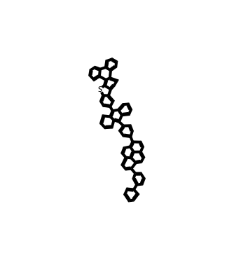 c1ccc(-c2cccc(-c3ccc4ccc5c(-c6ccc(-c7c8ccccc8c(-c8ccc9sc%10c(ccc%11c%12ccccc%12c%12ccccc%12c%11%10)c9c8)c8ccccc78)cc6)ccc6ccc3c4c65)c2)cc1